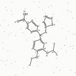 CCOc1ccc(N(Cc2cncs2)c2ccc(C(=O)O)cc2)cc1OC(C)C